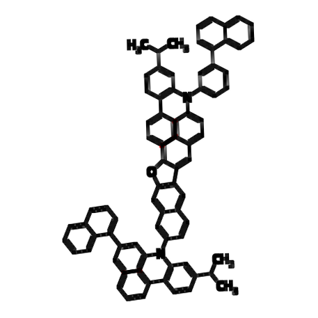 CC(C)c1ccc(-c2ccccc2)c(N(c2cccc(-c3cccc4ccccc34)c2)c2ccc3cc4c(cc3c2)oc2cc3cc(N(c5cccc(-c6cccc7ccccc67)c5)c5cc(C(C)C)ccc5-c5ccccc5)ccc3cc24)c1